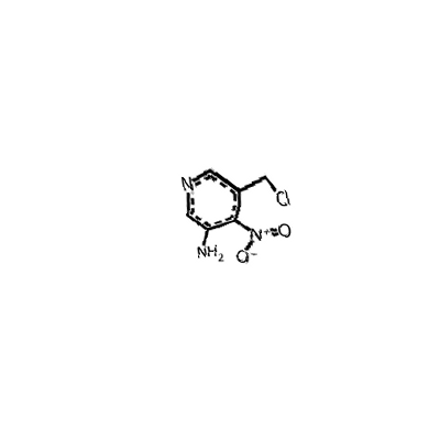 Nc1cncc(CCl)c1[N+](=O)[O-]